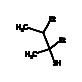 CCC(C)C(C)(S)CC